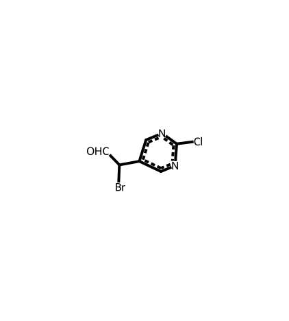 O=CC(Br)c1cnc(Cl)nc1